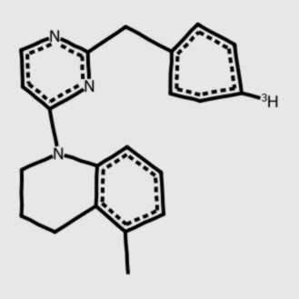 [3H]c1ccc(Cc2nccc(N3CCCc4c(C)cccc43)n2)cc1